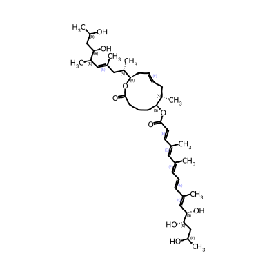 CC(=C\C=C\C(C)=C\[C@H](O)[C@@H](O)C[C@@H](C)O)/C=C(C)/C=C/C(=O)O[C@H]1CCCC(=O)O[C@@H]([C@@H](C)C/C(C)=C/[C@@H](C)[C@H](O)C[C@@H](C)O)C/C=C/C[C@@H]1C